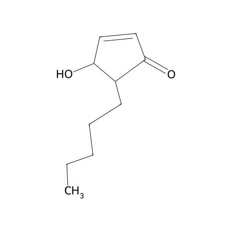 CCCCCC1C(=O)C=CC1O